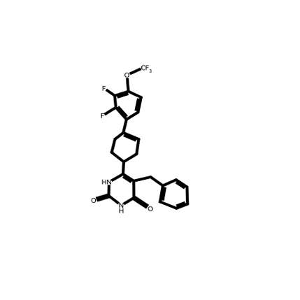 O=c1[nH]c(C2CC=C(c3ccc(OC(F)(F)F)c(F)c3F)CC2)c(Cc2ccccc2)c(=O)[nH]1